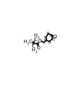 CC(C)(C)C(=O)OCC1CCC2OC2C1